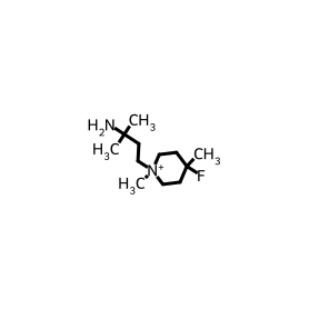 CC(C)(N)CC[N+]1(C)CCC(C)(F)CC1